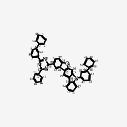 c1ccc(-c2cccc(-c3nc(-c4ccccc4)nc(-c4ccc5oc6cc7c(cc6c5c4)c4ccccc4n7-c4cccc(-c5ccccc5)c4)n3)c2)cc1